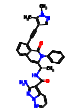 Cc1c(C#Cc2cccc3cc([C@H](C)NC(=O)c4c(N)nn5ncccc45)n(-c4ccccc4)c(=O)c23)cnn1C